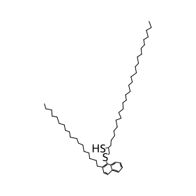 CCCCCCCCCCCCCCCCCCCCCCCCCCCCC(S)CSc1c(CCCCCCCCCCCCCCCCCC)ccc2ccccc12